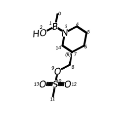 CB(O)N1CCC[C@@H](COS(C)(=O)=O)C1